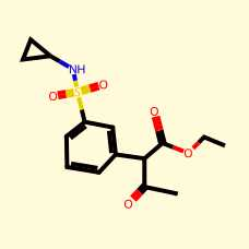 CCOC(=O)C(C(C)=O)c1cccc(S(=O)(=O)NC2CC2)c1